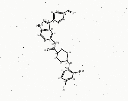 O=Cc1ccc(-c2n[nH]c3ccc(NC(=O)C4CCN(Cc5ccc(F)cc5F)CC4)cc23)cc1